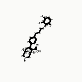 O=C(O)C1=C(c2ccc(CCCOc3c(F)ccc(F)c3F)cc2)C[C@@H]2CNC[C@H]1N2